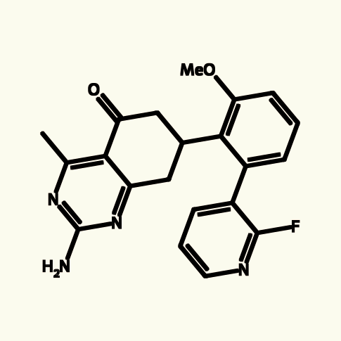 COc1cccc(-c2cccnc2F)c1C1CC(=O)c2c(C)nc(N)nc2C1